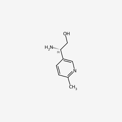 Cc1ccc([C@H](N)CO)cn1